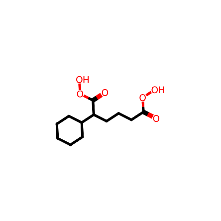 O=C(CCCC(C(=O)OO)C1CCCCC1)OO